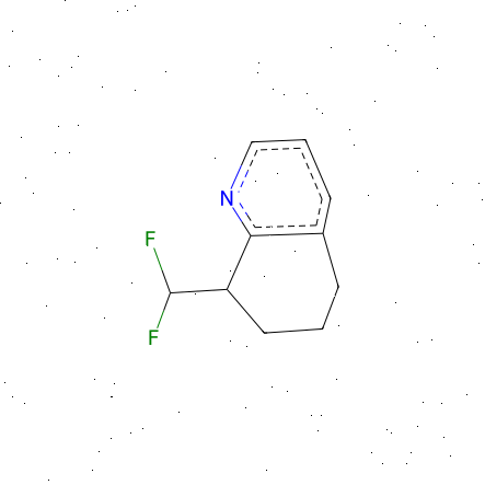 FC(F)C1CCCc2cccnc21